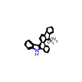 CC1(C)c2ccccc2-c2ccc3c(c21)c1ccccc1c1[nH]c2ccccc2c31